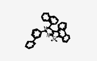 C[Si]1(C)c2nc(-c3cccc(-c4ccccc4)c3)nc(-c3cccc4ccccc34)c2-c2c1c1ccccc1c1ccccc21